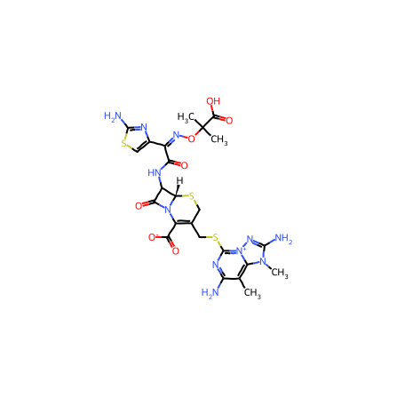 Cc1c(N)nc(SCC2=C(C(=O)[O-])N3C(=O)C(NC(=O)/C(=N\OC(C)(C)C(=O)O)c4csc(N)n4)[C@@H]3SC2)[n+]2nc(N)n(C)c12